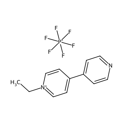 CC[n+]1ccc(-c2ccncc2)cc1.F[P-](F)(F)(F)(F)F